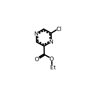 CCOC(=O)c1cncc(Cl)n1